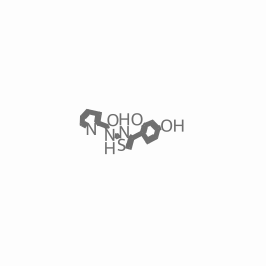 O=C(Nc1nc(-c2ccc(O)cc2O)cs1)c1ccccn1